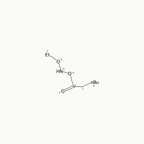 CCCCCC(=O)ONOCC